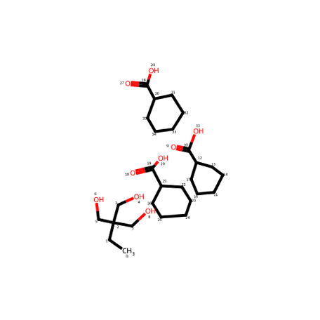 CCC(CO)(CO)CO.O=C(O)C1CCCCC1.O=C(O)C1CCCCC1.O=C(O)C1CCCCC1